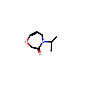 CC(C)N1CC=COCC1=O